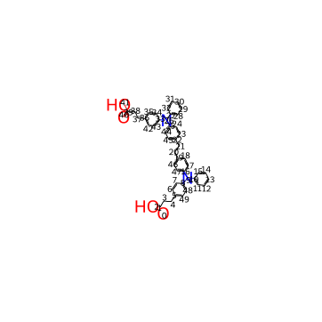 O=C(O)CCc1ccc(N(c2ccccc2)c2ccc(CCc3ccc(N(c4ccccc4)c4ccc(CCC(=O)O)cc4)cc3)cc2)cc1